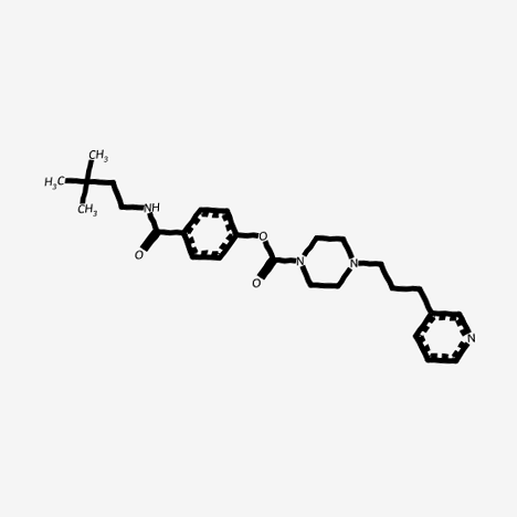 CC(C)(C)CCNC(=O)c1ccc(OC(=O)N2CCN(CCCc3cccnc3)CC2)cc1